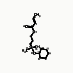 CC=CC(=O)OCCC[Si](C)(C)OC1CCCCC1